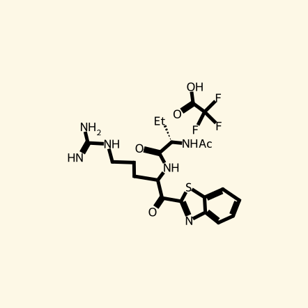 CC[C@H](NC(C)=O)C(=O)NC(CCCNC(=N)N)C(=O)c1nc2ccccc2s1.O=C(O)C(F)(F)F